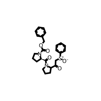 O=C(C[S+]([O-])c1ccccc1)C1CCCN1C(=O)[C@H]1CCCN1C(=O)OCc1ccccc1